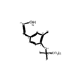 CCOC(=O)C(C)(C)Oc1ccc(/C=N\O)cc1C